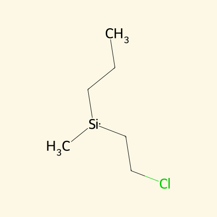 CCC[Si](C)CCCl